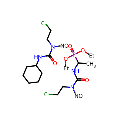 CCOP(=O)(OCC)C(C)NC(=O)N(CCCl)N=O.O=NN(CCCl)C(=O)NC1CCCCC1